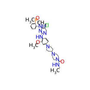 CCNC(=O)N1CCN(C2CCN(c3ccc(Nc4ncc(Cl)c(Nc5ccccc5P(C)(C)=O)n4)c(OC)c3)CC2)CC1